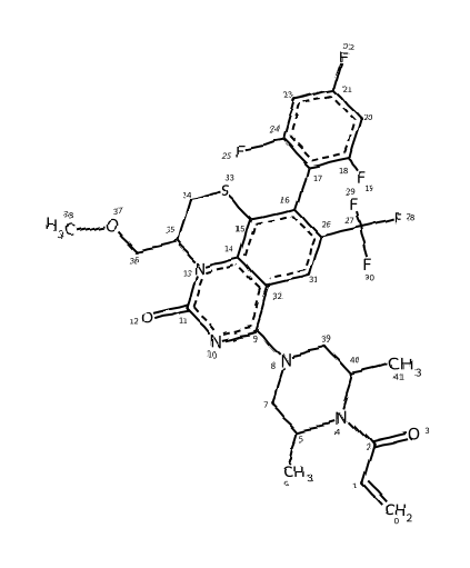 C=CC(=O)N1C(C)CN(c2nc(=O)n3c4c(c(-c5c(F)cc(F)cc5F)c(C(F)(F)F)cc24)SCC3COC)CC1C